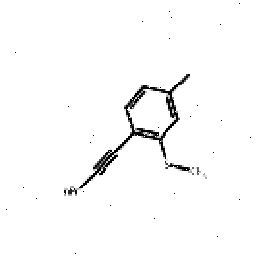 CCCC#Cc1ccc(C)cc1SC(F)(F)F